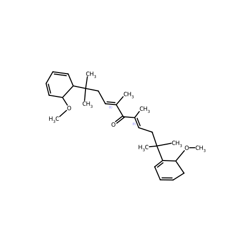 COC1CC=CC=C1C(C)(C)C/C=C(\C)C(=O)/C(C)=C/CC(C)(C)C1C=CC=CC1OC